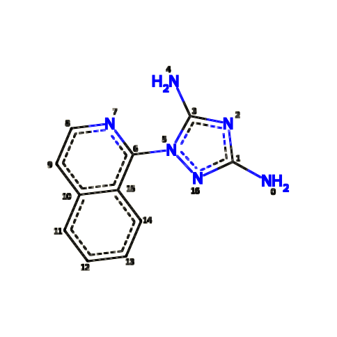 Nc1nc(N)n(-c2nccc3ccccc23)n1